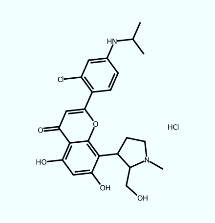 CC(C)Nc1ccc(-c2cc(=O)c3c(O)cc(O)c(C4CCN(C)C4CO)c3o2)c(Cl)c1.Cl